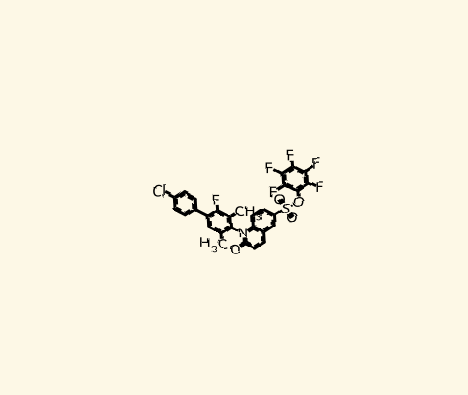 Cc1cc(-c2ccc(Cl)cc2)c(F)c(C)c1-n1c(=O)ccc2cc(S(=O)(=O)Oc3c(F)c(F)c(F)c(F)c3F)ccc21